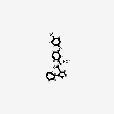 Cl.N#Cc1ccc(Oc2cccc(NC(=O)C3CNCC3c3ccccc3)c2)cc1